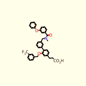 CN(Cc1cccc(-c2ccc(CCC(=O)O)cc2OCc2cccc(C(F)(F)F)c2)c1)C(=O)c1cccc(Oc2ccccc2)c1